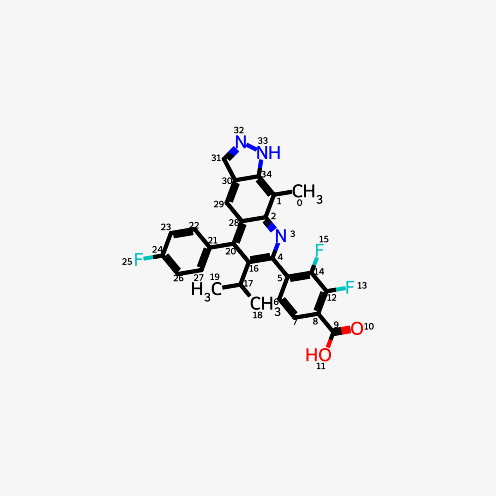 Cc1c2nc(-c3ccc(C(=O)O)c(F)c3F)c(C(C)C)c(-c3ccc(F)cc3)c2cc2cn[nH]c12